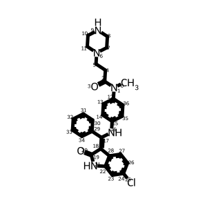 CN(C(=O)CCN1CCNCC1)c1ccc(NC(=C2C(=O)Nc3cc(Cl)ccc32)c2ccccc2)cc1